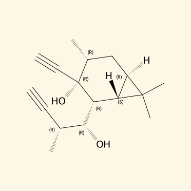 C#C[C@@H](C)[C@@H](O)[C@H]1[C@@H]2[C@@H](C[C@@H](C)[C@]1(O)C#C)C2(C)C